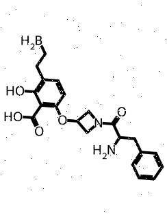 BCCc1ccc(OC2CN(C(=O)C(N)Cc3ccccc3)C2)c(C(=O)O)c1O